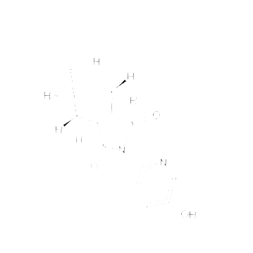 O=C1[C@@H]2[C@@H]3C=C[C@@H]([C@H]4C[C@@H]34)[C@@H]2C(=O)N1c1ccc(O)cn1